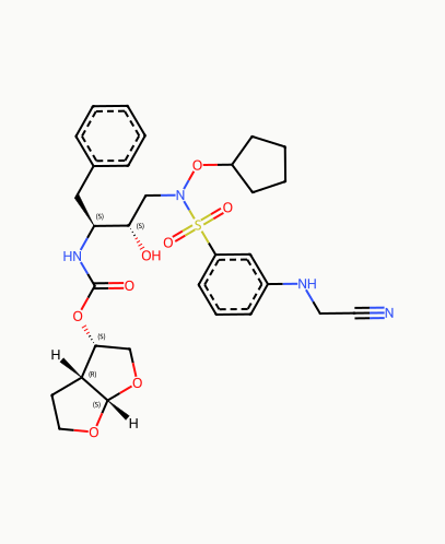 N#CCNc1cccc(S(=O)(=O)N(C[C@H](O)[C@H](Cc2ccccc2)NC(=O)O[C@@H]2CO[C@@H]3OCC[C@@H]32)OC2CCCC2)c1